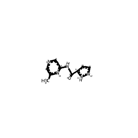 Cc1cncc(NC(=O)c2ccn[nH]2)n1